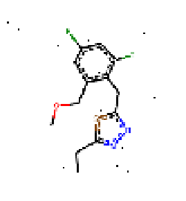 CCc1nnc(Cc2c(F)cc(F)cc2COC)s1